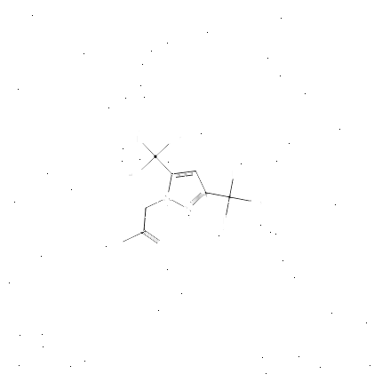 CC(=O)Cn1nc(C(F)(F)F)cc1C(F)(F)F